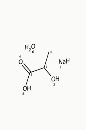 CC(O)C(=O)O.O.[NaH]